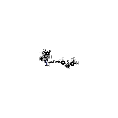 C=C(/C=C\C(=C/C)NCCCOCCCOc1ccc(N2C(=S)N(c3ccc(C#N)c(C(F)(F)F)c3)C(=O)C2(C)C)cc1F)[C@H]1Nc2cc(F)cc3c(=O)[nH]nc(c23)[C@@H]1c1ncnn1C